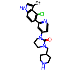 CCc1c[nH]c2ccc(-c3cc(N4CCCN(CC5CCNCC5)C4=O)ccn3)c(Cl)c12